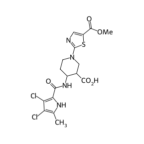 COC(=O)c1cnc(N2CCC(NC(=O)c3[nH]c(C)c(Cl)c3Cl)C(C(=O)O)C2)s1